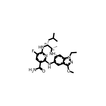 CCn1nc(OC)c2cc(Nc3nc(N[C@H](CC(C)C)[C@H](C)N)c(F)cc3C(N)=O)ccc21